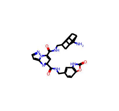 NC12C3C4C1C1C2C3C41CNC(=O)c1cc(C(=O)NCc2ccc3oc(=O)[nH]c3c2)nc2ccnn12